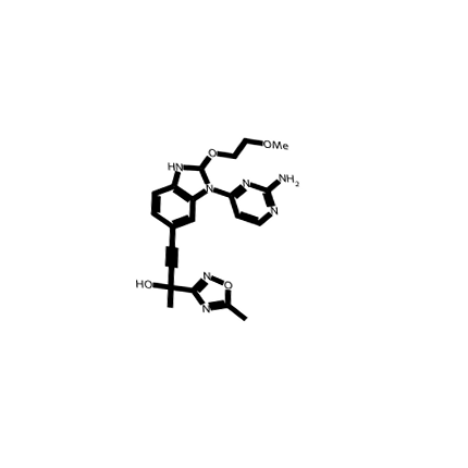 COCCOC1Nc2ccc(C#CC(C)(O)c3noc(C)n3)cc2N1c1ccnc(N)n1